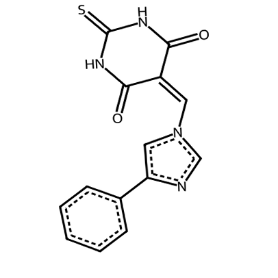 O=C1NC(=S)NC(=O)C1=Cn1cnc(-c2ccccc2)c1